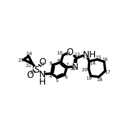 O=S(=O)(Nc1ccc2c(c1)COC(NC1CCCCCC1)=N2)C1CC1